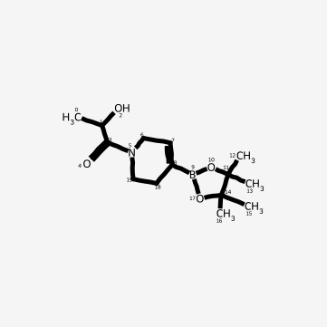 CC(O)C(=O)N1CC=C(B2OC(C)(C)C(C)(C)O2)CC1